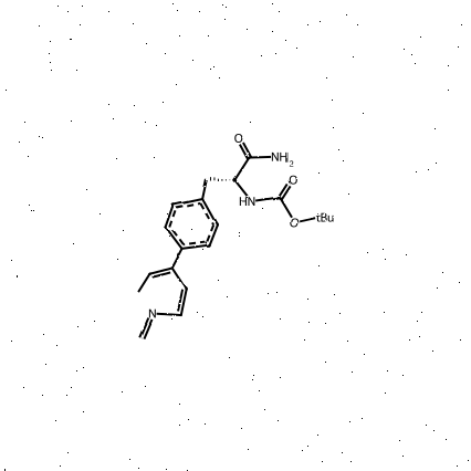 C=N/C=C\C(=C/C)c1ccc(C[C@@H](NC(=O)OC(C)(C)C)C(N)=O)cc1